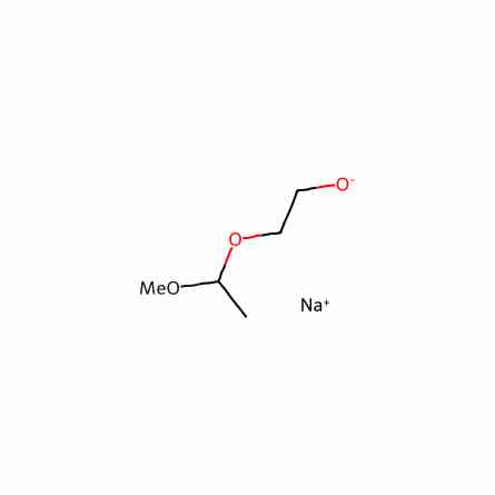 COC(C)OCC[O-].[Na+]